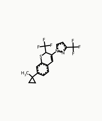 CC1(c2ccc3c(c2)SC(C(F)(F)F)C(n2ccc(C(F)(F)F)n2)=C3)CC1